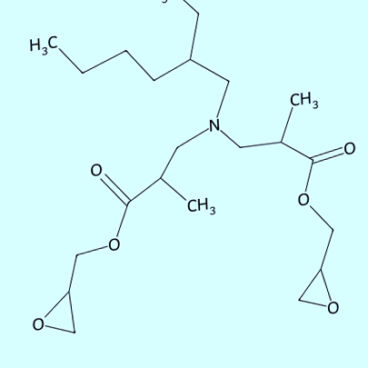 CCCCC(CC)CN(CC(C)C(=O)OCC1CO1)CC(C)C(=O)OCC1CO1